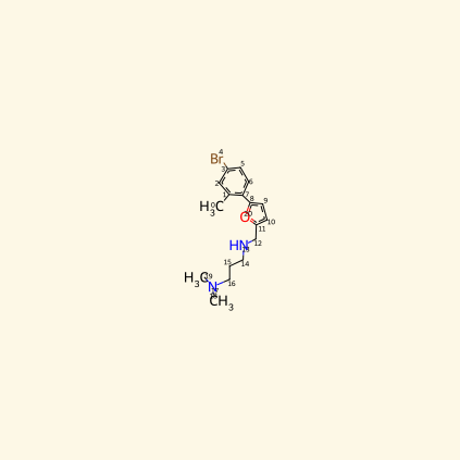 Cc1cc(Br)ccc1-c1ccc(CNCCCN(C)C)o1